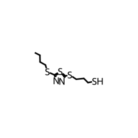 CCCCSc1nnc(SCCCS)s1